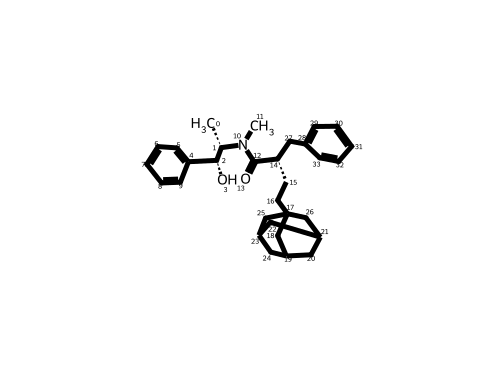 C[C@@H]([C@H](O)c1ccccc1)N(C)C(=O)[C@@H](CCC12CC3CC(CC(C3)C1)C2)Cc1ccccc1